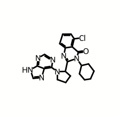 O=c1c2c(Cl)cccc2nc(C2CCCN2c2ncnc3[nH]cnc23)n1C1CCCCC1